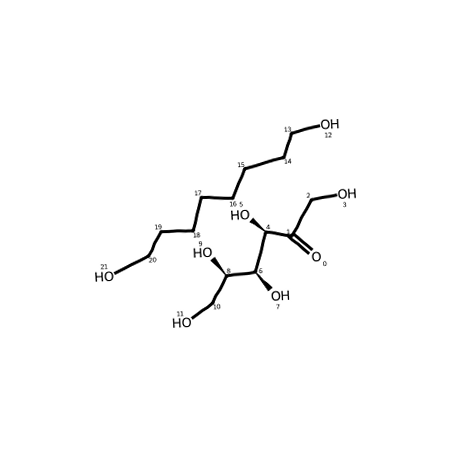 O=C(CO)[C@H](O)[C@@H](O)[C@H](O)CO.OCCCCCCCCO